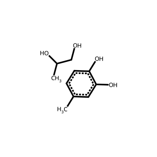 CC(O)CO.Cc1ccc(O)c(O)c1